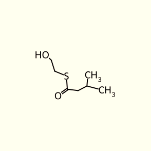 CC(C)CC(=O)SCCO